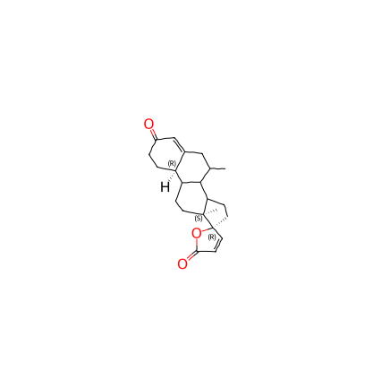 CC1CC2=CC(=O)CC[C@@H]2C2CC[C@@]3(C)C(CC[C@@]34C=CC(=O)O4)C12